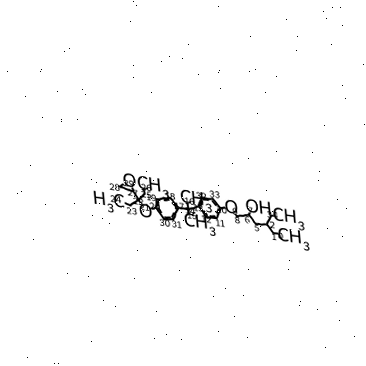 CCC(CC)CC(O)COc1ccc(C(C)(C)c2ccc(OC(CC)(CC)C3CO3)cc2)cc1